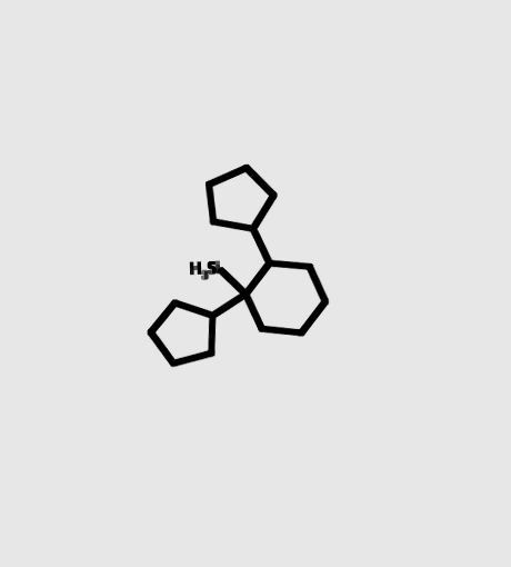 [SiH3]C1(C2CCCC2)CCCCC1C1CCCC1